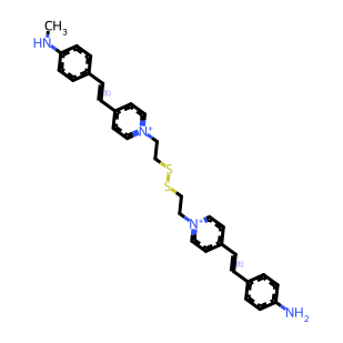 CNc1ccc(/C=C/c2cc[n+](CCSSCC[n+]3ccc(/C=C/c4ccc(N)cc4)cc3)cc2)cc1